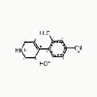 Cc1cc(C#N)ccc1C1=CCNCC1.Cl